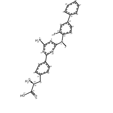 CN(c1nc(N)nc(-c2ccc(C[C@H](N)C(=O)O)cc2)n1)c1ccc(-c2ccccc2)cc1F